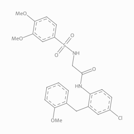 COc1ccccc1Cc1cc(Cl)ccc1NC(=O)CNS(=O)(=O)c1ccc(OC)c(OC)c1